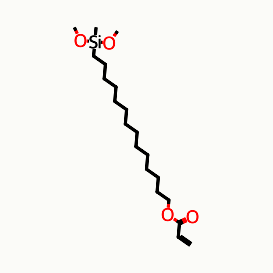 C=CC(=O)OCCCCCCCCCCCCCC[Si](C)(OC)OC